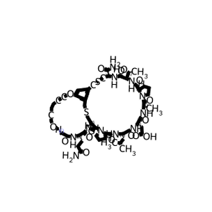 CC(C)C[C@@H]1NC(=O)[C@@H]2CCCN2C(=O)[C@@H]2CSCc3cc(cc(c3)OCCCCCCO/N=C/C(=O)N[C@@H](CCC(N)=O)C(=O)N2)CSC[C@@H](C(N)=O)NC(=O)C([C@@H](C)O)NC(=O)[C@@H]2CCCN2C(=O)[C@H](C)NC(=O)[C@H](CC(=O)O)NC1=O